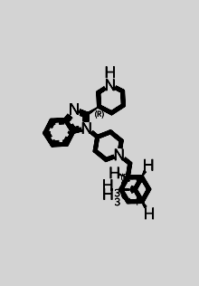 CC1(C)[C@H]2CC[C@@H](CN3CCC(n4c([C@@H]5CCCNC5)nc5ccccc54)CC3)[C@@H]1C2